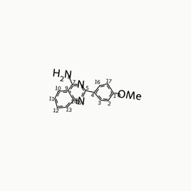 COc1ccc(-c2nc(N)c3ccccc3n2)cc1